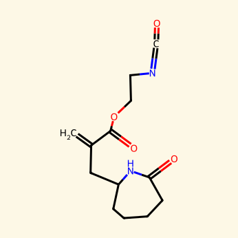 C=C(CC1CCCCC(=O)N1)C(=O)OCCN=C=O